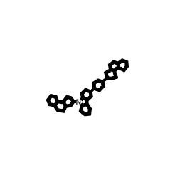 c1ccc2c(c1)ccc1cc(-c3ccc(-c4ccc5c(c4)c4ccccc4n5-c4ccc5c(ccc6ccccc65)c4)cc3)ccc12